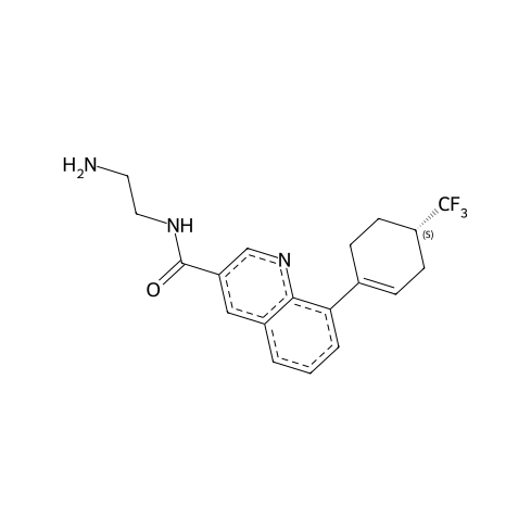 NCCNC(=O)c1cnc2c(C3=CC[C@@H](C(F)(F)F)CC3)cccc2c1